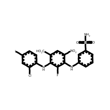 NS(=O)(=O)c1cccc(Nc2c([N+](=O)[O-])cc(C(=O)O)c(Nc3ccc(I)cc3Cl)c2F)c1